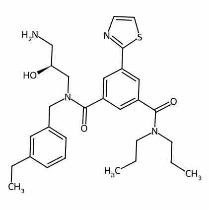 CCCN(CCC)C(=O)c1cc(C(=O)N(Cc2cccc(CC)c2)C[C@@H](O)CN)cc(-c2nccs2)c1